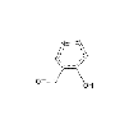 O=[C]c1cnccc1O